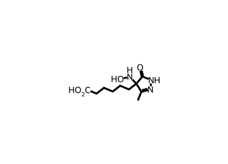 CC1=NNC(=O)C1(CCCCCC(=O)O)NO